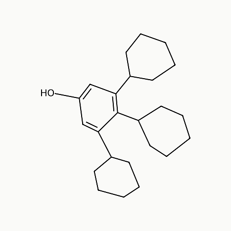 Oc1cc(C2CCCCC2)c(C2CCCCC2)c(C2CCCCC2)c1